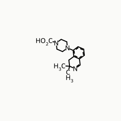 CC1(C)Cc2c(cccc2N2CCN(C(=O)O)CC2)C=N1